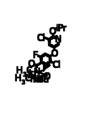 CCCC[Si](C)(C)N(C(=O)c1cc(Cl)c(Oc2cnc(OC(C)C)c(Cl)c2)cc1F)S(=N)(=O)C1CC1